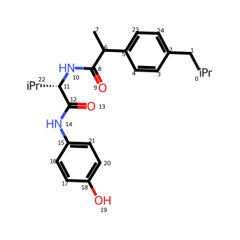 CC(C)Cc1ccc(C(C)C(=O)N[C@H](C(=O)Nc2ccc(O)cc2)C(C)C)cc1